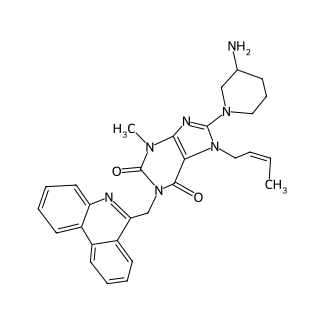 C/C=C\Cn1c(N2CCCC(N)C2)nc2c1c(=O)n(Cc1nc3ccccc3c3ccccc13)c(=O)n2C